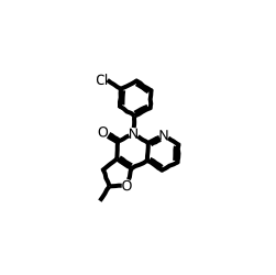 CC1Cc2c(c3cccnc3n(-c3cccc(Cl)c3)c2=O)O1